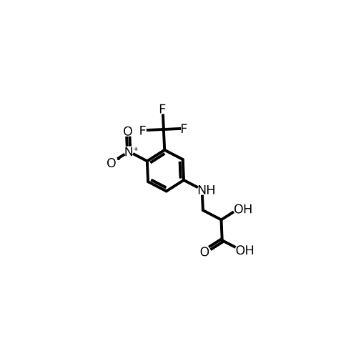 O=C(O)C(O)CNc1ccc([N+](=O)[O-])c(C(F)(F)F)c1